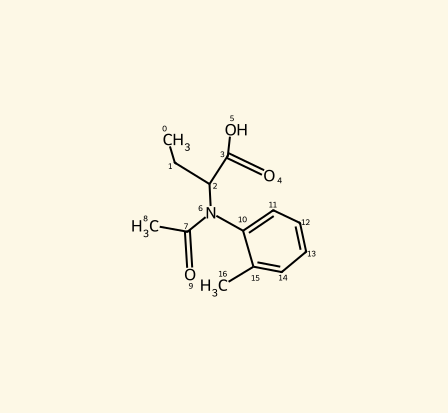 CCC(C(=O)O)N(C(C)=O)c1ccccc1C